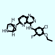 CCOc1cc(F)c(Nc2ncnc3ccc(N4C[C@@H]5C[C@H]4CN5)nc23)cc1Cl